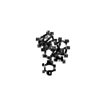 Pc1c(N2CCOCC2)ccc(C23CC4CC(CC(C4)C2)C3)c1C12CC3CC(CC(C3)C1)C2